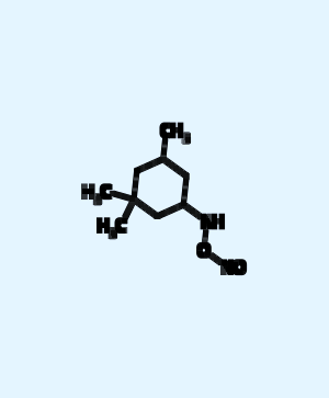 CC1CC(NON=O)CC(C)(C)C1